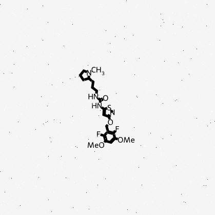 COc1cc(OC)c(F)c(COc2cc(NC(=O)NCCCC3CCCN3C)sn2)c1F